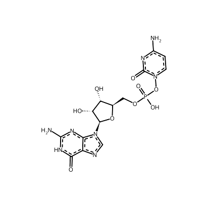 Nc1ccn(OP(=O)(O)OC[C@H]2O[C@@H](n3cnc4c(=O)[nH]c(N)nc43)[C@H](O)[C@@H]2O)c(=O)n1